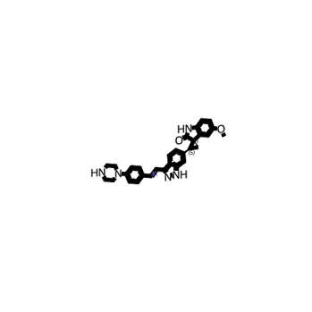 COc1ccc2c(c1)[C@]1(C[C@H]1c1ccc3c(/C=C/c4ccc(N5CCNCC5)cc4)n[nH]c3c1)C(=O)N2